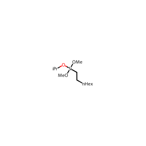 CCCCCCCC[Si](OC)(OC)OC(C)C